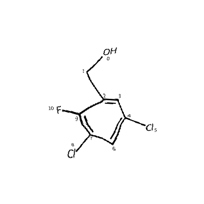 OCc1cc(Cl)cc(Cl)c1F